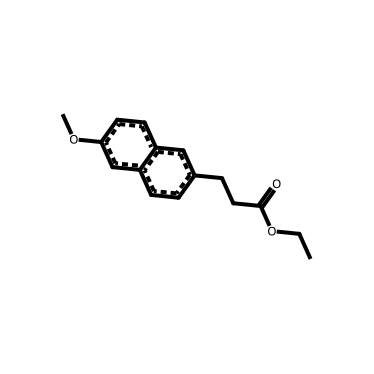 CCOC(=O)CCc1ccc2cc(OC)ccc2c1